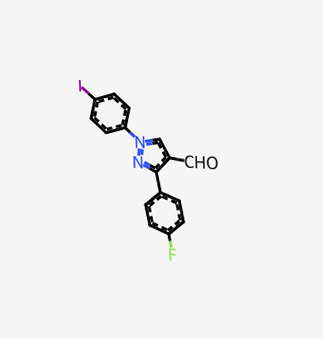 O=Cc1cn(-c2ccc(I)cc2)nc1-c1ccc(F)cc1